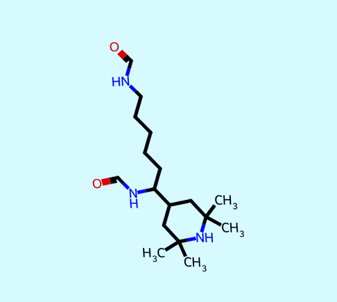 CC1(C)CC(C(CCCCCNC=O)NC=O)CC(C)(C)N1